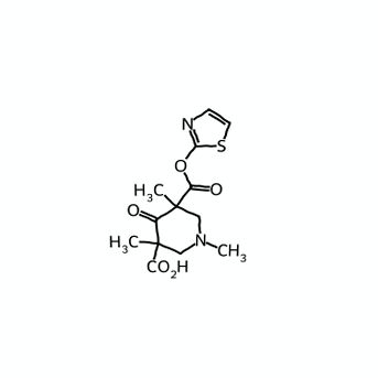 CN1CC(C)(C(=O)O)C(=O)C(C)(C(=O)Oc2nccs2)C1